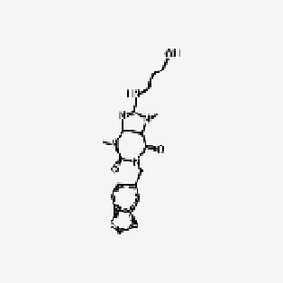 CN1C(=O)N(Cc2ccc3sccc3c2)C(=O)C2C1N=C(NCCCO)N2C